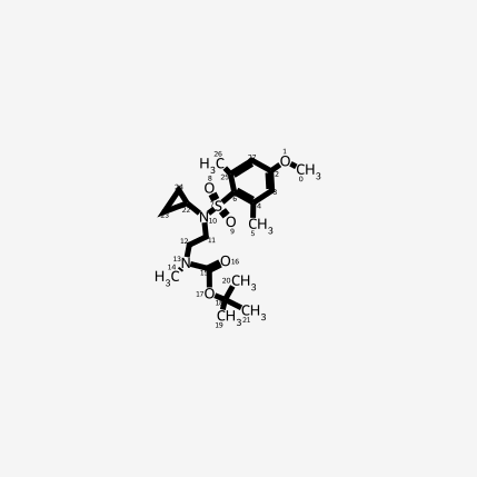 COc1cc(C)c(S(=O)(=O)N(CCN(C)C(=O)OC(C)(C)C)C2CC2)c(C)c1